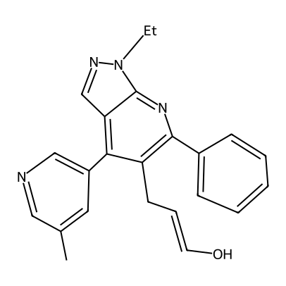 CCn1ncc2c(-c3cncc(C)c3)c(C/C=C/O)c(-c3ccccc3)nc21